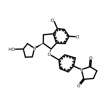 O=C1CCC(=O)N1c1ccc(O[C@H]2c3cc(Cl)cc(Cl)c3C[C@@H]2N2CCC(O)C2)cc1